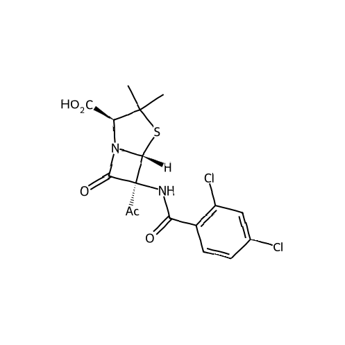 CC(=O)[C@]1(NC(=O)c2ccc(Cl)cc2Cl)C(=O)N2[C@@H](C(=O)O)C(C)(C)S[C@@H]21